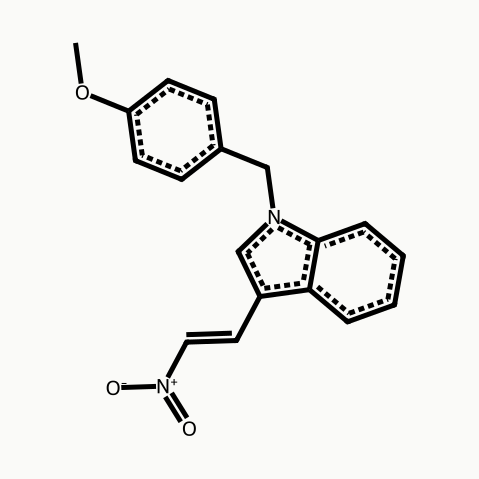 COc1ccc(Cn2cc(C=C[N+](=O)[O-])c3ccccc32)cc1